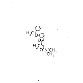 CCN(CC)C(=O)C=C(C)c1cc2cccc(OC(C)c3ccccc3)c2o1